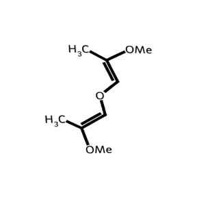 COC(C)=COC=C(C)OC